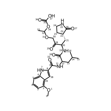 COc1cccc2[nH]c(C(=O)NC(CC(C)C)C(=O)NC(C[C@@H]3CCNC3=O)C(=O)COC(C)OC(=O)O)cc12